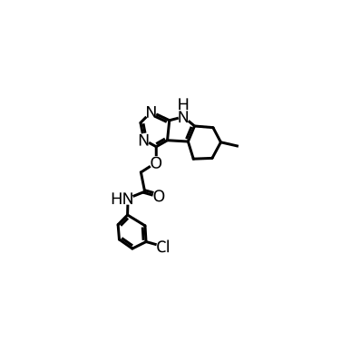 CC1CCc2c([nH]c3ncnc(OCC(=O)Nc4cccc(Cl)c4)c23)C1